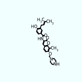 CC(C)=CCc1cc(C(=O)Nc2cc3ccc(OCN4CCNCC4)c(C)c3oc2=O)ccc1O